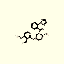 C=Cc1c(OC)ccnc1O[C@@H]1CC[C@@H](C)N(C(=O)c2ccccc2-n2nccn2)C1